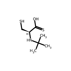 CC(C)(C)N[C@@H](CS)C(O)=S